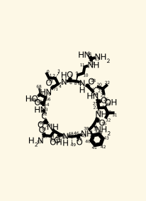 CC[C@H](C)[C@@H]1NC(=O)[C@@H](CCCNC(=N)N)NC(=O)[C@H](CC(C)C)NC(=O)[C@H]([C@H](O)C(C)C)NC(=O)[C@@H](N)[C@@H](c2ccccc2)NC(=O)[C@H](C)NC(=O)C([C@H](O)C(N)=O)NC(=O)CNC(=O)[C@H]([C@H](C)O)NC1=O